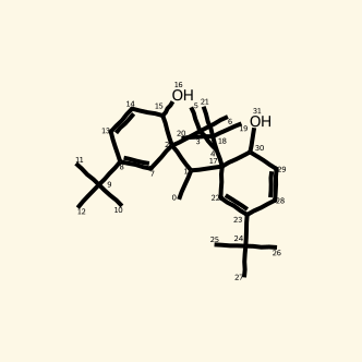 CC(C1(C(C)(C)C)C=C(C(C)(C)C)C=CC1O)C1(C(C)(C)C)C=C(C(C)(C)C)C=CC1O